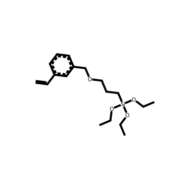 C=Cc1cccc(COCCC[Si](OCC)(OCC)OCC)c1